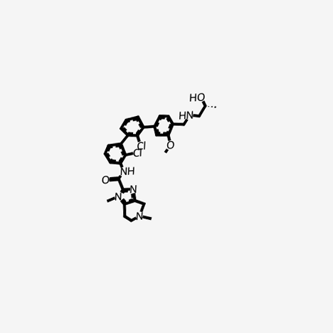 COc1cc(-c2cccc(-c3cccc(NC(=O)c4nc5c(n4C)CCN(C)C5)c3Cl)c2Cl)ccc1CNC[C@@H](C)O